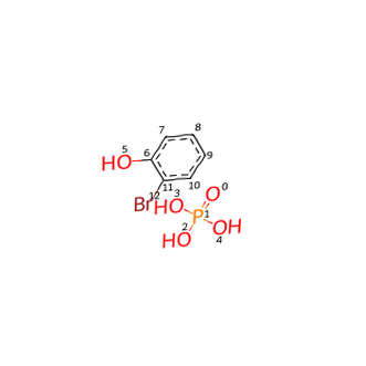 O=P(O)(O)O.Oc1ccccc1Br